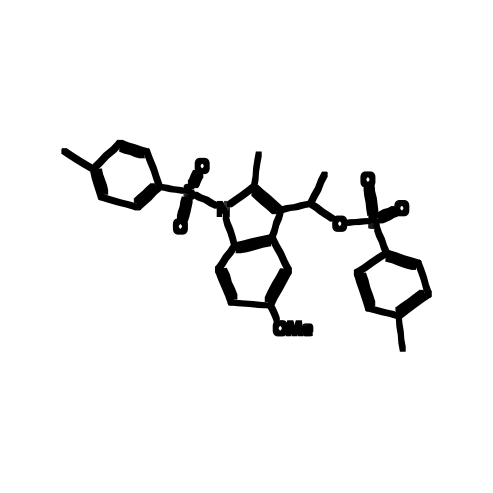 COc1ccc2c(c1)c(C(C)OS(=O)(=O)c1ccc(C)cc1)c(C)n2S(=O)(=O)c1ccc(C)cc1